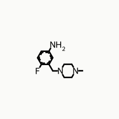 CN1CCN(Cc2cc(N)ccc2F)CC1